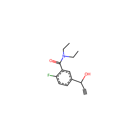 C#CC(O)c1ccc(F)c(C(=O)N(CC)CC)c1